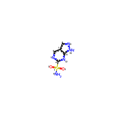 NS(=O)(=O)c1ncc2cn[nH]c2n1